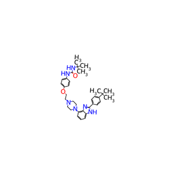 CC(C)(C)NC(=O)Nc1ccc(OCCN2CCN(c3cccc4[nH]c(-c5ccc(C(C)(C)C)cc5)nc34)CC2)cc1